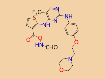 O=CNOC(=O)c1ccsc1Nc1nc(Nc2ccc(OCCN3CCOCC3)cc2)ncc1C(F)(F)F